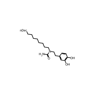 CCCCCCCCCCCCCCCCCCN(CCc1ccc(O)c(O)c1)C(N)=O